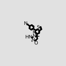 CN1C(=N)N[C@](C)(c2cc(-c3ccc(C#N)cc3)c3sccc3c2)CC1=O